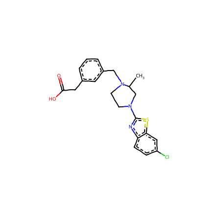 CC1CN(c2nc3ccc(Cl)cc3s2)CCN1Cc1cccc(CC(=O)O)c1